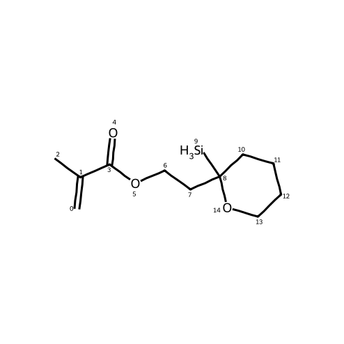 C=C(C)C(=O)OCCC1([SiH3])CCCCO1